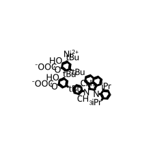 CC(C)(C)c1cc(OC(=O)[O-])c(O)c(C(C)(C)C)c1.CC(C)(C)c1cc(OC(=O)[O-])c(O)c(C(C)(C)C)c1.Cc1cccc(C)c1N=C1C(=Nc2c(C(C)C)cccc2C(C)C)c2cccc3cccc1c23.[Ni+2]